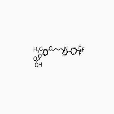 Cc1cc(OCCCCc2nc(-c3ccc(C(F)(F)F)cc3)cs2)ccc1OCC(=O)O